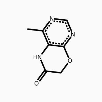 Cc1ncnc2c1NC(=O)CO2